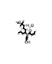 C/C=C\C(=O)N(C#CO)C(CCC)CCCC(C)(C)OC.O